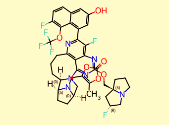 Cc1oc(=O)oc1CN1[C@@H]2CC[C@H]1[C@H]1CCCc3nc(-c4cc(O)cc5ccc(F)c(OC(F)(F)F)c45)c(F)c4nc(OC[C@@]56CCCN5C[C@H](F)C6)nc(c34)N1C2